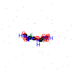 Cn1c(=O)n(C2CCC(=O)NC2=O)c2cc(F)c(N3CCC(O)(CC(=O)Nc4ccc5c(F)c(N6CC(=O)NS6(=O)=O)c(O)cc5c4)CC3)cc21